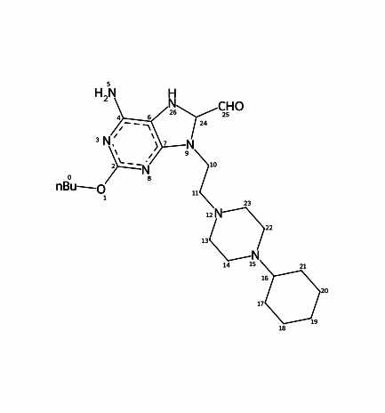 CCCCOc1nc(N)c2c(n1)N(CCN1CCN(C3CCCCC3)CC1)C(C=O)N2